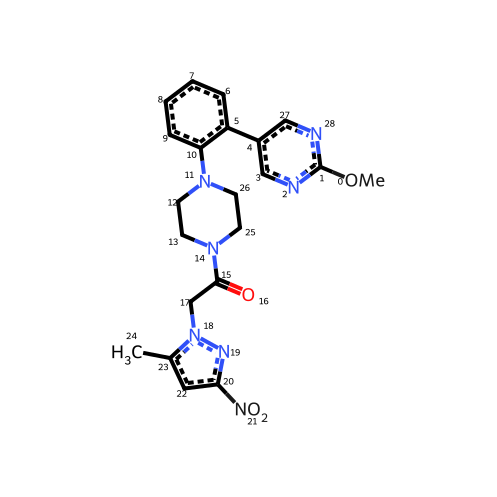 COc1ncc(-c2ccccc2N2CCN(C(=O)Cn3nc([N+](=O)[O-])cc3C)CC2)cn1